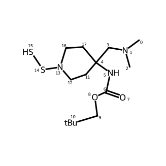 CN(C)CC1(NC(=O)OCC(C)(C)C)CCN(SS)CC1